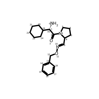 N[C@H](C(=O)N1CCCC1C=NOCc1ccccc1)C1CCCCC1